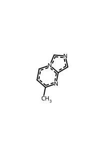 Cc1ccn2cncc2n1